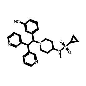 CN(C1CCN(C(c2cccc(C#N)c2)C(c2cccnc2)c2cccnc2)CC1)S(=O)(=O)C1CC1